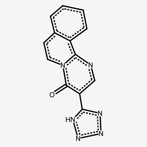 O=c1c(-c2nnn[nH]2)cnc2c3ccccc3ccn12